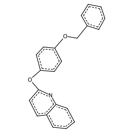 c1ccc(COc2ccc(Oc3ccc4ccccc4n3)cc2)cc1